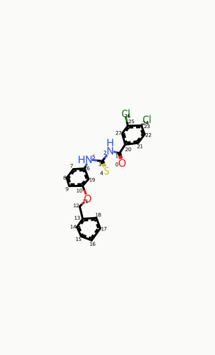 O=C(NC(=S)Nc1cccc(OCc2ccccc2)c1)c1ccc(Cl)c(Cl)c1